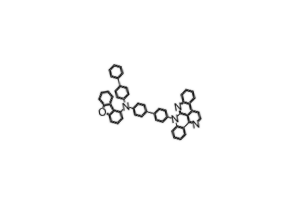 c1ccc(-c2ccc(N(c3ccc(-c4ccc(N5c6ccccc6-c6nccc7c6c5nc5ccccc57)cc4)cc3)c3cccc4oc5ccccc5c34)cc2)cc1